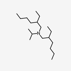 CCCCC(CC)CN(CC(CC)CCCC)C(C)C